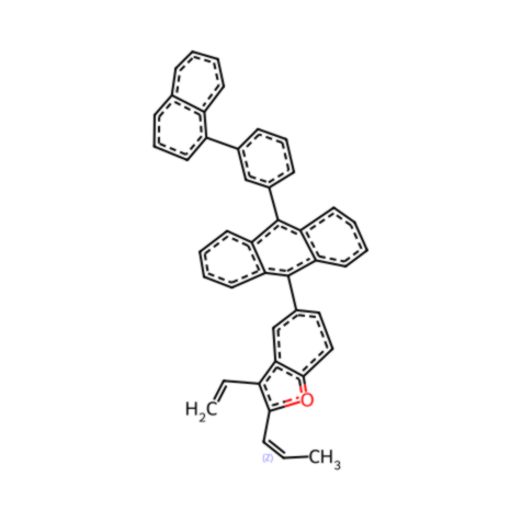 C=Cc1c(/C=C\C)oc2ccc(-c3c4ccccc4c(-c4cccc(-c5cccc6ccccc56)c4)c4ccccc34)cc12